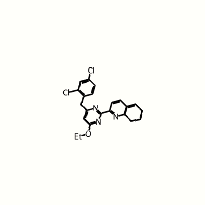 CCOc1cc(Cc2ccc(Cl)cc2Cl)nc(C2=NC3CCCC=C3C=C2)n1